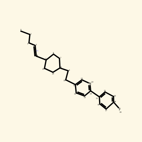 CCC/C=C/C1CCC(CCc2ccc(-c3ccc(F)cc3)nc2)CC1